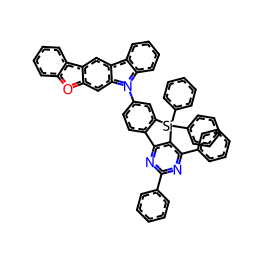 c1ccc(-c2nc(-c3ccccc3)c3c(n2)-c2ccc(-n4c5ccccc5c5cc6c(cc54)oc4ccccc46)cc2[Si]3(c2ccccc2)c2ccccc2)cc1